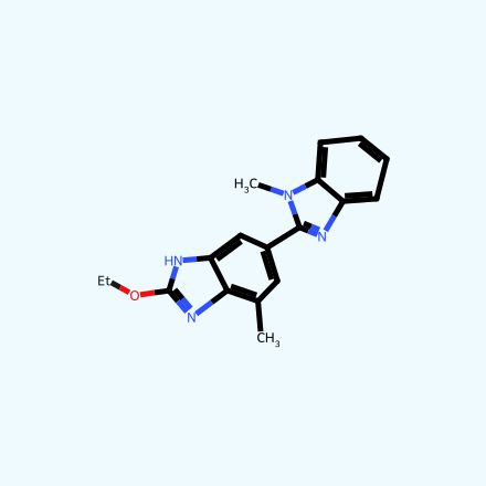 CCOc1nc2c(C)cc(-c3nc4ccccc4n3C)cc2[nH]1